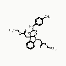 CCOC(=O)CN1C(=O)C(CC(=O)OCC)(NC(=O)Nc2ccc(C)cc2)c2ccccc21